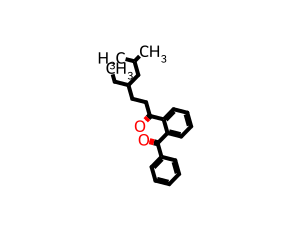 CCC(CCC(=O)c1ccccc1C(=O)c1ccccc1)CC(C)C